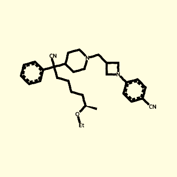 CCO[C@H](C)CCCCC(C#N)(c1ccccc1)C1CCN(CC2CN(c3ccc(C#N)cc3)C2)CC1